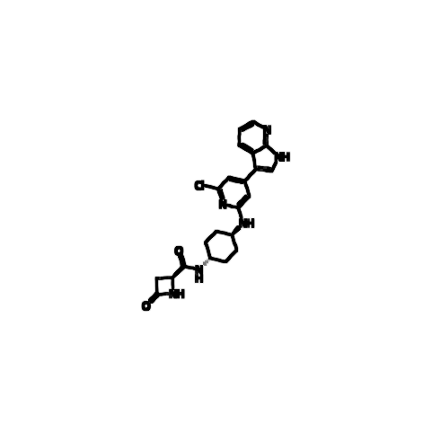 O=C1C[C@@H](C(=O)N[C@H]2CC[C@H](Nc3cc(-c4c[nH]c5ncccc45)cc(Cl)n3)CC2)N1